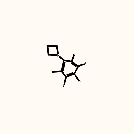 Fc1c(F)c(F)c(N2CCC2)c(F)c1F